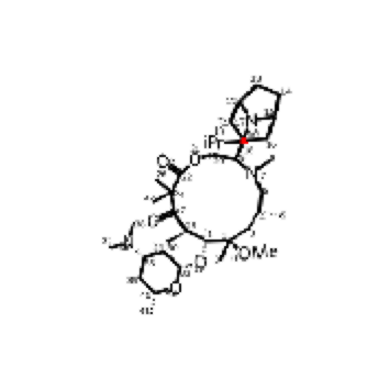 CO[C@]1(C)C[C@@H](C)CN(C)C(C2CC3CCC(C2)N3CC(C)C)COC(=O)C(C)(C)C(=O)[C@H](C)[C@H]1O[C@H]1C[C@@H](N(C)C)C[C@@H](C)O1